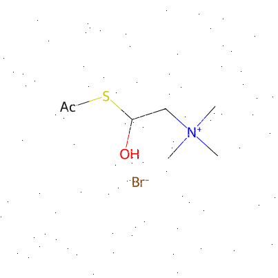 CC(=O)SC(O)C[N+](C)(C)C.[Br-]